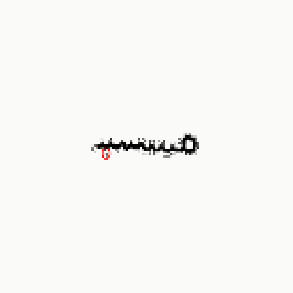 CCC(=O)CCCCCCCCCCCCCCC1CCCCCC1